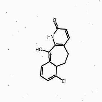 O=c1ccc2c([nH]1)C(O)=C1C=CC=C(Cl)C1CC2